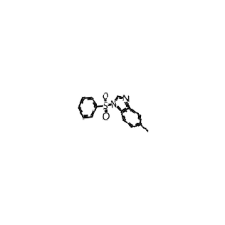 Cc1ccc2c(c1)ncn2S(=O)(=O)c1ccccc1